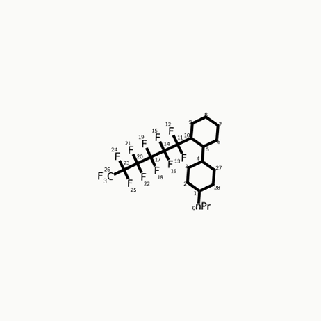 CCCC1CCC(C2CCCCC2C(F)(F)C(F)(F)C(F)(F)C(F)(F)C(F)(F)C(F)(F)F)CC1